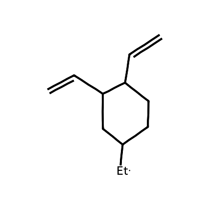 C=CC1CCC([CH]C)CC1C=C